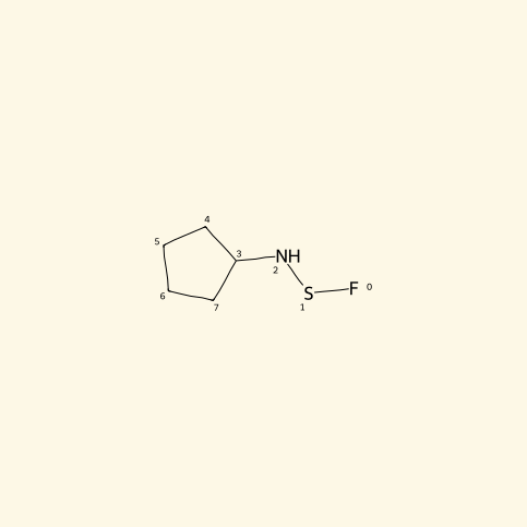 FSNC1CCCC1